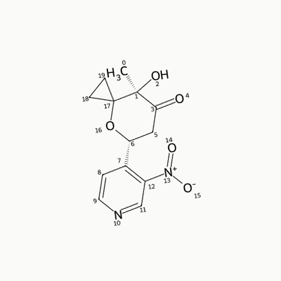 C[C@]1(O)C(=O)C[C@H](c2ccncc2[N+](=O)[O-])OC12CC2